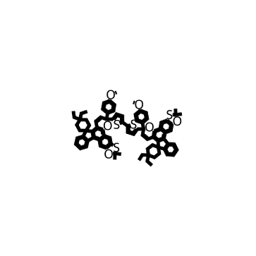 CCC1(CC)CCC2(CC1)c1ccccc1-c1c2c2c(c3cc4c(cc13)OC(C)(C)S4)OC(c1ccc(OC)cc1)(c1ccc(-c3ccc(C4(c5ccc(OC)cc5)C=Cc5c6c(c7cc8c(cc7c5O4)SC(C)(C)O8)-c4ccccc4C64CCC(CC)(CC)CC4)s3)s1)C=C2